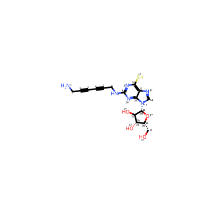 NCC#CC#CCNc1nc(S)c2ncn([C@@H]3O[C@H](CO)[C@H](O)C3O)c2n1